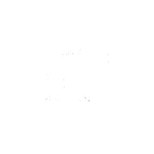 Cc1c(F)cc(C2(C(=O)O)CCCC2)cc1C#N